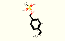 C=Cc1ccc(COS(C)(=O)=O)cc1